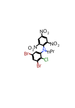 CCCN(c1cc(Br)cc(Br)c1Cl)c1c([N+](=O)[O-])cc([N+](=O)[O-])cc1[N+](=O)[O-]